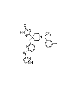 Cc1cccc(C(N2CCC(Cc3cccc(Nc4cc[nH]n4)n3)(c3n[nH]c(=O)o3)CC2)C(F)(F)F)c1